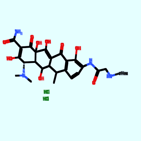 CCCCCCNCC(=O)Nc1ccc2c(c1O)C(=O)C1=C(O)C3(O)C(=O)C(C(N)=O)=C(O)[C@@H](N(C)C)C3C(O)C1C2C.Cl.Cl